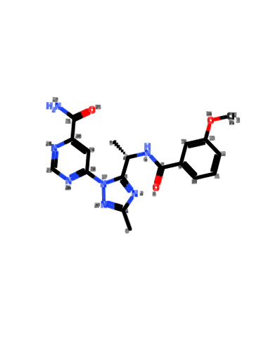 Cc1nc([C@H](C)NC(=O)c2cccc(OC(F)(F)F)c2)n(-c2cc(C(N)=O)ncn2)n1